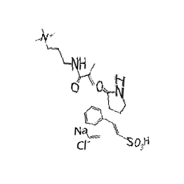 C=C(C)C(=O)NCCC[N+](C)(C)C.C=[CH][Na].O=C1CCCN1.O=S(=O)(O)C=Cc1ccccc1.[Cl-]